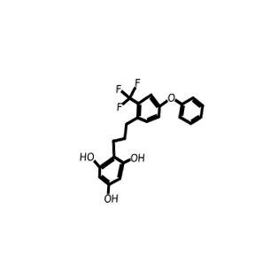 Oc1cc(O)c(CCCc2ccc(Oc3ccccc3)cc2C(F)(F)F)c(O)c1